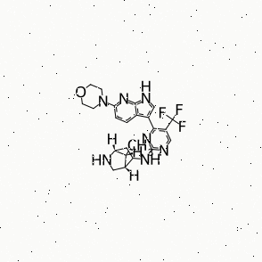 C[C@H]1[C@H]2CC(Nc3ncc(C(F)(F)F)c(-c4c[nH]c5nc(N6CCOCC6)ccc45)n3)[C@@H]1CN2